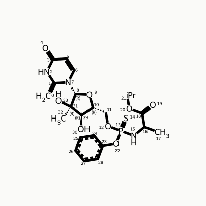 C=C1NC(=O)C=CN1[C@@H]1O[C@H](COP(=S)(NC(C)C(=O)OC(C)C)Oc2ccccc2)[C@@H](O)[C@@]1(C)O